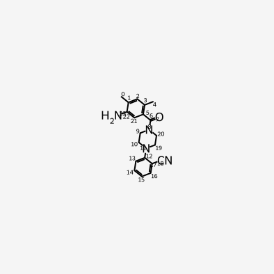 Cc1cc(C)c(C(=O)N2CCN(c3ccccc3C#N)CC2)cc1N